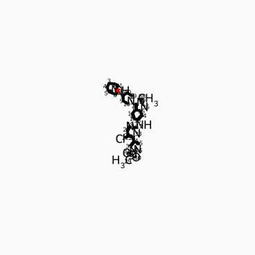 CN1C2CCC1CN(C1CCN(c3c4ccc(Nc5ncc(Cl)c(-c6cnn(S(C)(=O)=O)c6)n5)cc4nn3C)CC1)C2